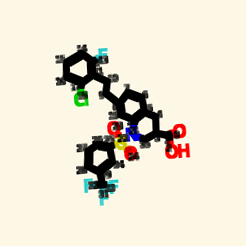 O=C(O)C1Cc2ccc(CCc3c(F)cccc3Cl)cc2N(S(=O)(=O)c2cccc(C(F)(F)F)c2)C1